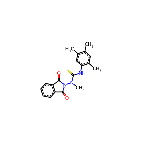 Cc1cc(C)c(NC(=S)N(C)N2C(=O)c3ccccc3C2=O)cc1C